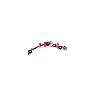 Cc1ccc(OCCCCCCOC(=O)CCC(=O)Oc2ccc(C(=O)Oc3ccc(C(=O)Oc4ccc(N5CCN(C)CC5)cc4)cc3)cc2)cc1